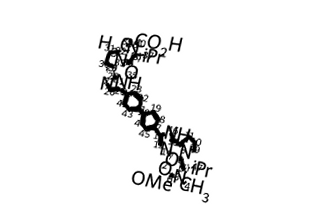 COC(=O)N(C)[C@H](C(=O)N1CCCC1c1ncc(-c2ccc(-c3ccc(-c4cnc([C@@H]5CCCN5C(=O)[C@H](C(C)C)N(C)C(=O)O)[nH]4)cc3)cc2)[nH]1)C(C)C